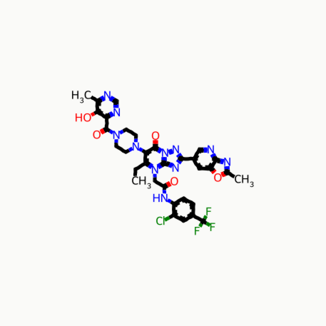 CCc1c(N2CCN(C(=O)c3ncnc(C)c3O)CC2)c(=O)n2nc(-c3cnc4nc(C)oc4c3)nc2n1CC(=O)Nc1ccc(C(F)(F)F)cc1Cl